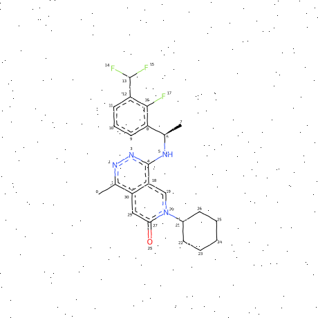 Cc1nnc(N[C@H](C)c2cccc(C(F)F)c2F)c2cn(C3CCCCC3)c(=O)cc12